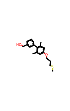 CSCCCOc1cc(C)c(-c2cccc(CO)c2)c(C)c1